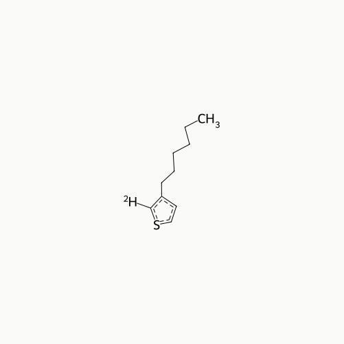 [2H]c1sccc1CCCCCC